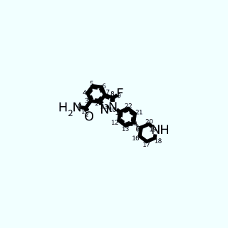 NC(=O)c1cccc2c(F)n(-c3ccc([C@H]4CCCNC4)cc3)nc12